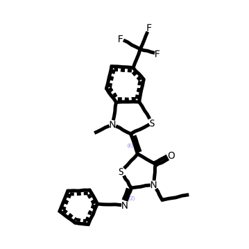 CCN1C(=O)/C(=C2\Sc3cc(C(F)(F)F)ccc3N2C)S/C1=N\c1ccccc1